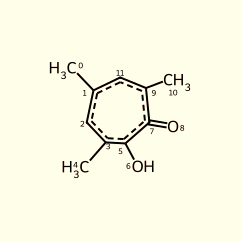 Cc1cc(C)c(O)c(=O)c(C)c1